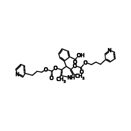 CC1=C(OC(=O)OCCCc2cccnc2)C(c2ccccc2C(=O)O)C(OC(=O)OCCCc2cccnc2)=C(C)N1